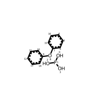 OP(O)O.c1ccc(Oc2ccccc2)cc1